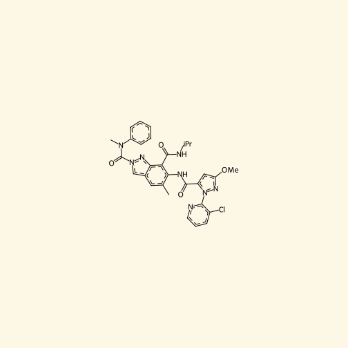 COc1cc(C(=O)Nc2c(C)cc3cn(C(=O)N(C)c4ccccc4)nc3c2C(=O)NC(C)C)n(-c2ncccc2Cl)n1